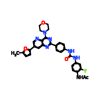 CC(=O)Nc1ccc(NC(=O)Nc2ccc(-c3nc(N4CCOCC4)c4ncc(-c5ccc(C)o5)cc4n3)cc2)cc1F